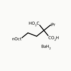 CCCCCCCCCCC(C(=O)O)(C(=O)O)C(C)C.[BaH2]